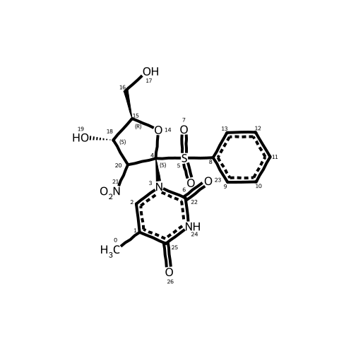 Cc1cn([C@]2(S(=O)(=O)c3ccccc3)O[C@H](CO)[C@@H](O)C2[N+](=O)[O-])c(=O)[nH]c1=O